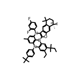 CCc1cc2c(cc1C(C)(C)CC)B1c3oc4cc5c(cc4c3N(c3ccc(F)cc3F)c3cc(C)cc(c31)N2c1ccc(C(C)(C)C)cc1)C(C)(C)CC[C@@]5(C)I